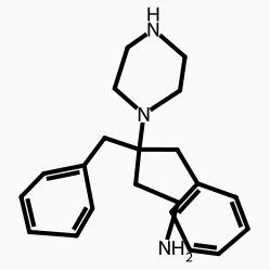 NCCC(Cc1ccccc1)(Cc1ccccc1)N1CCNCC1